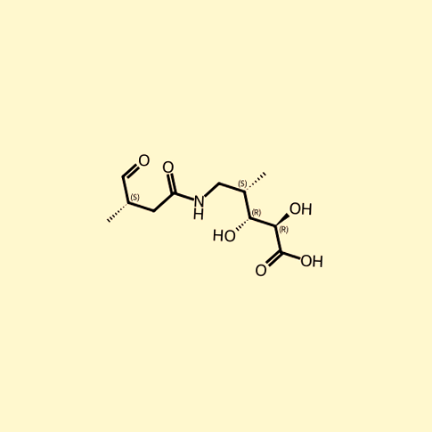 C[C@H](C=O)CC(=O)NC[C@H](C)[C@@H](O)[C@@H](O)C(=O)O